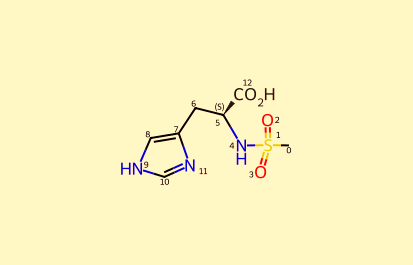 CS(=O)(=O)N[C@@H](Cc1c[nH]cn1)C(=O)O